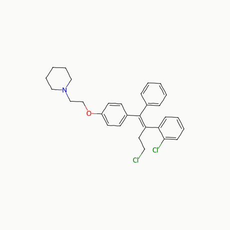 ClCCC(=C(c1ccccc1)c1ccc(OCCN2CCCCC2)cc1)c1ccccc1Cl